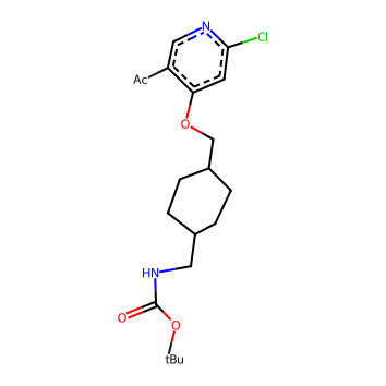 CC(=O)c1cnc(Cl)cc1OCC1CCC(CNC(=O)OC(C)(C)C)CC1